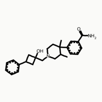 CC1CN(CC2(O)CC(c3ccccc3)C2)CCC1(C)c1cccc(C(N)=O)c1